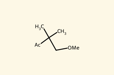 COCC(C)(C)C(C)=O